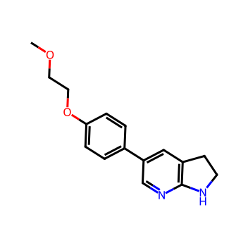 COCCOc1ccc(-c2cnc3c(c2)CCN3)cc1